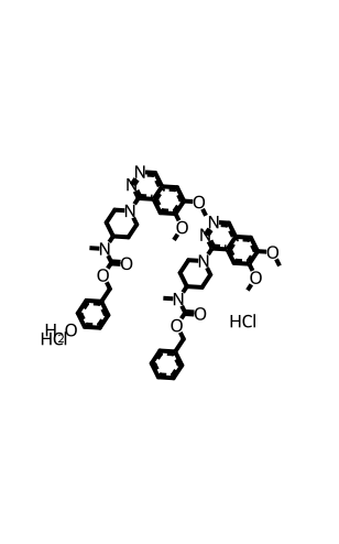 COc1cc2cnnc(N3CCC(N(C)C(=O)OCc4ccccc4)CC3)c2cc1OC.COc1cc2cnnc(N3CCC(N(C)C(=O)OCc4ccccc4)CC3)c2cc1OC.Cl.Cl.O